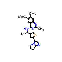 COc1cc2nc(C)nc(NC(C)c3csc(-c4cnc5n4CCC5)c3)c2cc1OC